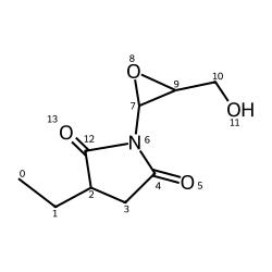 CCC1CC(=O)N(C2OC2CO)C1=O